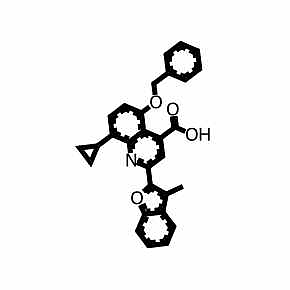 Cc1c(-c2cc(C(=O)O)c3c(OCc4ccccc4)ccc(C4CC4)c3n2)oc2ccccc12